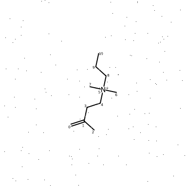 C=C(C)CC[N+](C)(C)CCC